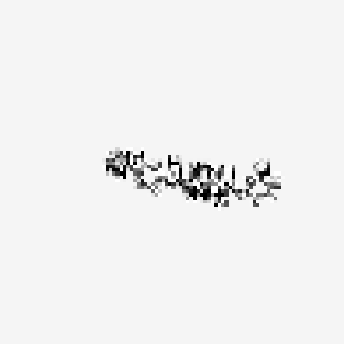 O=C(NCc1ccc(F)c(Cl)c1)c1ncnc2c(NCc3ccc(-c4nnc[nH]4)cc3)n[nH]c12